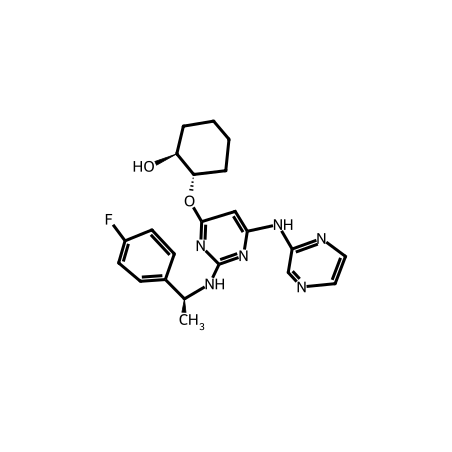 C[C@H](Nc1nc(Nc2cnccn2)cc(O[C@H]2CCCC[C@@H]2O)n1)c1ccc(F)cc1